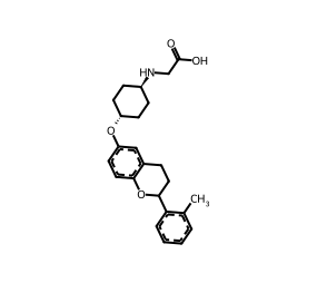 Cc1ccccc1C1CCc2cc(O[C@H]3CC[C@H](NCC(=O)O)CC3)ccc2O1